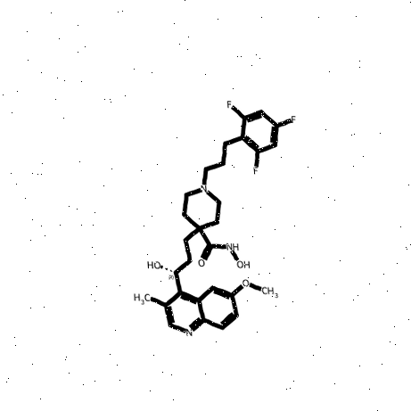 COc1ccc2ncc(C)c([C@H](O)CCC3(C(=O)NO)CCN(CCCc4c(F)cc(F)cc4F)CC3)c2c1